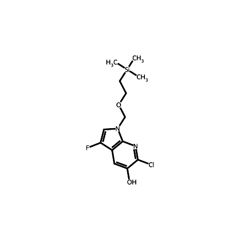 C[Si](C)(C)CCOCn1cc(F)c2cc(O)c(Cl)nc21